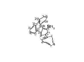 Bc1cc(-c2ccccc2)cc(-c2ccccc2)c1-c1ccccc1